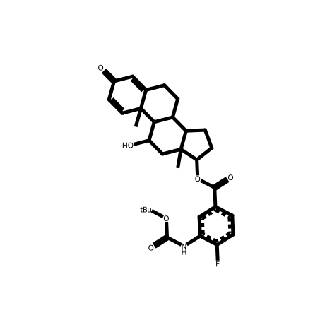 CC(C)(C)OC(=O)Nc1cc(C(=O)OC2CCC3C4CCC5=CC(=O)C=CC5(C)C4C(O)CC23C)ccc1F